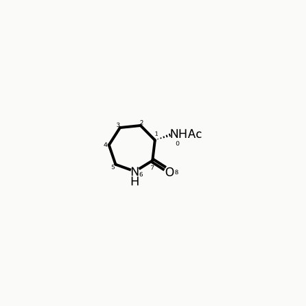 CC(=O)N[C@H]1CCCCNC1=O